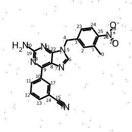 Cc1cc(Cn2cnc3c(-c4cccc(C#N)c4)nc(N)nc32)ccc1[N+](=O)[O-]